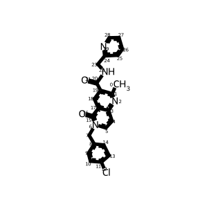 Cc1nc2ccn(Cc3ccc(Cl)cc3)c(=O)c2cc1C(=O)NCc1ccccn1